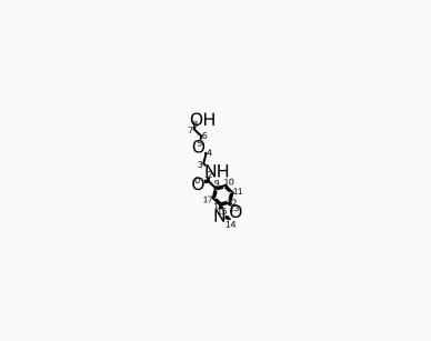 O=C(NCCOCCO)c1ccc2ocnc2c1